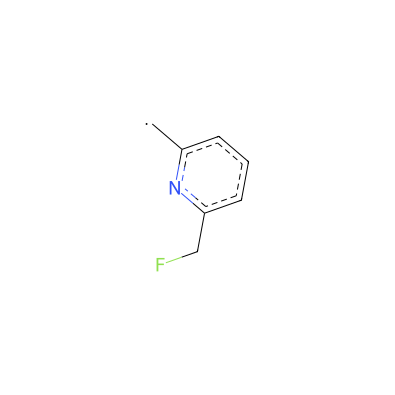 [CH2]c1cccc(CF)n1